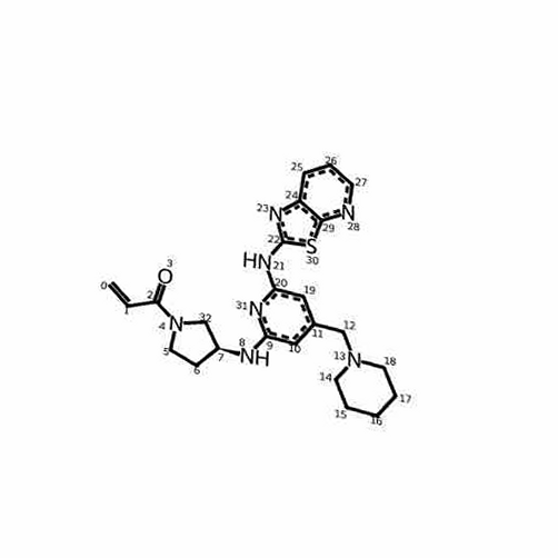 C=CC(=O)N1CC[C@H](Nc2cc(CN3CCCCC3)cc(Nc3nc4cccnc4s3)n2)C1